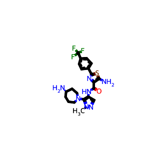 Cn1ncc(NC(=O)c2nc(-c3ccc(C(F)(F)F)cc3)sc2N)c1N1CCC[C@@H](N)CC1